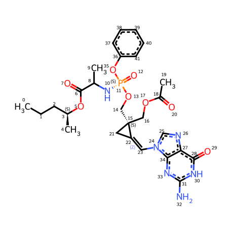 CCC[C@H](C)OC(=O)C(C)N[P@](=O)(OC[C@@]1(COC(C)=O)C/C1=C/n1cnc2c(=O)[nH]c(N)nc21)Oc1ccccc1